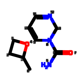 CC1CCO1.NC(=O)N1C=CC=NC1